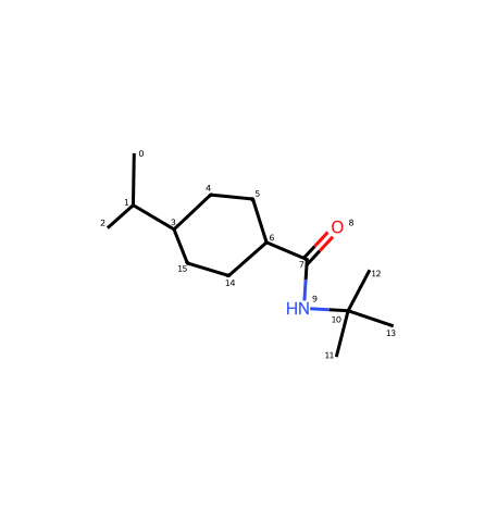 CC(C)C1CCC(C(=O)NC(C)(C)C)CC1